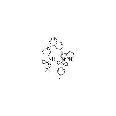 Cc1ccc(S(=O)(=O)n2cc(-c3ccc4nccc(N5CCC[C@H](NC(=O)OC(C)(C)C)C5)c4c3)c3cccnc32)cc1